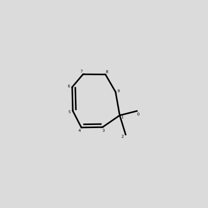 CC1(C)C=CC=CCCC1